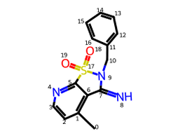 Cc1ccnc2c1C(=N)N(Cc1ccccc1)S2(=O)=O